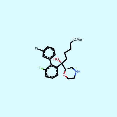 CCc1cccc(-c2c(F)cccc2[C@](O)(CCCCOC)[C@H]2CNCCO2)c1